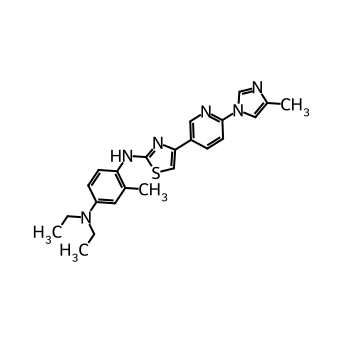 CCN(CC)c1ccc(Nc2nc(-c3ccc(-n4cnc(C)c4)nc3)cs2)c(C)c1